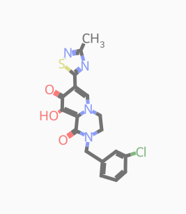 Cc1nsc(-c2cn3c(c(O)c2=O)C(=O)N(Cc2cccc(Cl)c2)CC3)n1